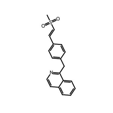 CS(=O)(=O)C=Cc1ccc(Cc2nccc3ccccc23)cc1